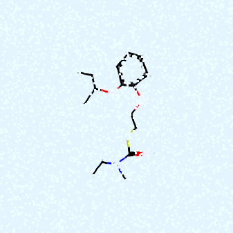 CCC(C)Oc1ccccc1OCCSC(=O)N(C)CC